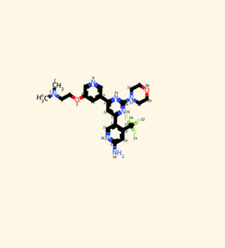 CN(C)CCOc1cncc(-c2cc(-c3cnc(N)cc3C(F)(F)F)nc(N3CCOCC3)n2)c1